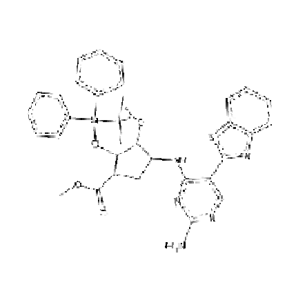 COC(=O)C1CC(Nc2nc(N)ncc2-c2nc3ccccc3s2)C(OC)C1O[Si](c1ccccc1)(c1ccccc1)C(C)(C)C